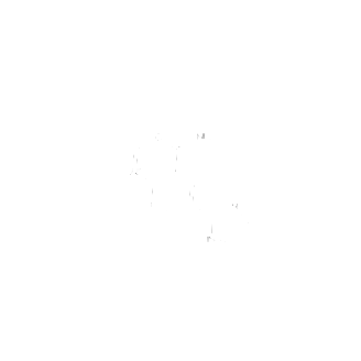 NC(=O)c1cc(-c2ncc[nH]2)ccc1[N+](=O)[O-]